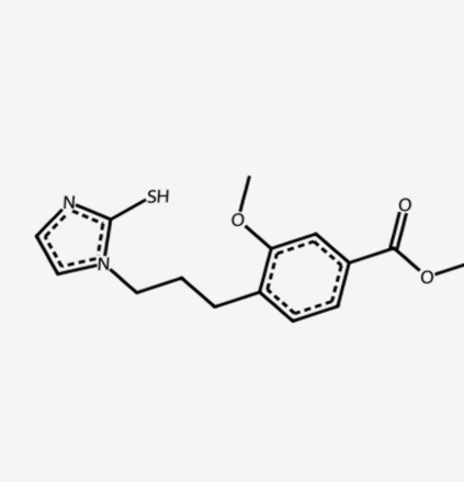 COC(=O)c1ccc(CCCn2ccnc2S)c(OC)c1